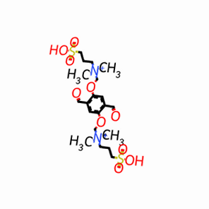 C[N+](C)(CCCS(=O)(=O)O)COc1cc(C=O)c(OC[N+](C)(C)CCCS(=O)(=O)O)cc1C=O